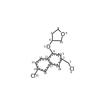 ClCc1nc(OC2CCOC2)c2ccc(Cl)cc2n1